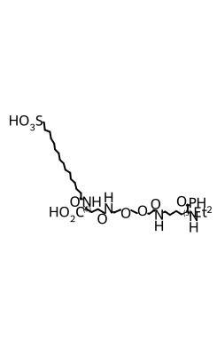 CCN[C@@H](CCCCNC(=O)COCCOCCNC(=O)CC[C@H](NC(=O)CCCCCCCCCCCCCCCS(=O)(=O)O)C(=O)O)C(=O)P